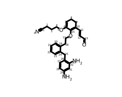 N#CCCCOC1=CC[CH]C(/C=C/C=O)=C1OCCc1ccccc1Cc1ccc(N)cc1N